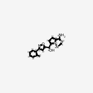 Nc1ncnn2c(C(O)c3cc(-c4ccccc4F)no3)ccc12